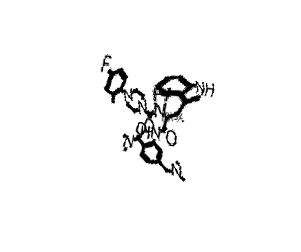 Cc1cc(F)ccc1N1CCN(C(=O)N[C@@H](C(=O)Nc2cc(CN(C)C)ccc2C(=O)N(C)C)[C@@H](C)c2c[nH]c3ccccc23)CC1